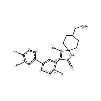 COCC1CCC2(CC1)NC(=O)C(c1cc(-c3ccc(F)c(F)c3)ccc1C)=C2O